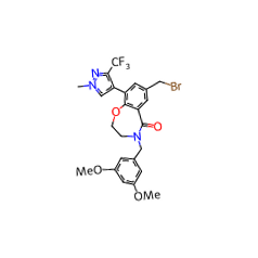 COc1cc(CN2CCOc3c(cc(CBr)cc3-c3cn(C)nc3C(F)(F)F)C2=O)cc(OC)c1